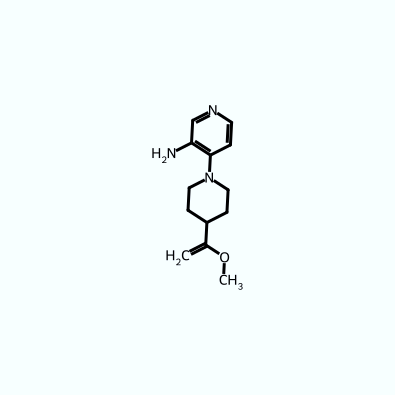 C=C(OC)C1CCN(c2ccncc2N)CC1